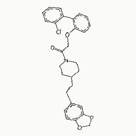 O=C(COc1ccccc1-c1ccccc1Cl)N1CCC(CCc2ccc3c(c2)OCO3)CC1